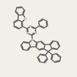 c1ccc(-c2nc(-c3cccc4c3oc3ccccc34)nc(-n3c4ccccc4c4cc5c(cc43)-c3ccccc3C5(c3ccccc3)c3ccccc3)n2)cc1